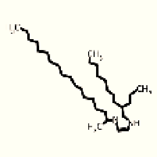 CCCCCCCCCCCCCCCCC(C)[n+]1cc[nH]c1C(CCC)CCCCCCCC